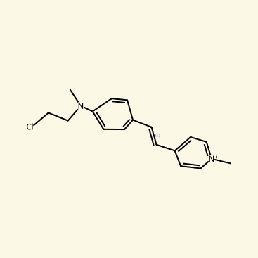 CN(CCCl)c1ccc(/C=C/c2cc[n+](C)cc2)cc1